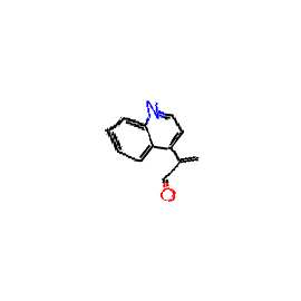 C=C(C=O)c1ccnc2ccccc12